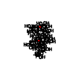 CC1C(O)[C@H](O)[C@H](CO)O[C@H]1O[C@@H]1C(O)[C@H](O)C(CO)O[C@@H]1OCC1O[C@@H](O[C@@H]2C(CO)O[C@@H](O[C@@H]3C(CO)O[C@@H](C)[C@@H](C)C3O)[C@@H](C)C2O)[C@H](O)C(O[C@H]2O[C@H](CO)[C@@H](O)C(O)C2O[C@@H]2OC(CO)[C@@H](O[C@@H]3OC(CO[C@]4(C(=O)O)C[C@@H](O)[C@@H](N)C(C(O)C(O)CO)O4)[C@H](O)C(O)[C@@H]3O)C(O)[C@@H]2C)[C@@H]1O